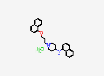 Cl.Cl.c1ccc2c(NC3CCN(CCCOc4cccc5ccccc45)CC3)cccc2c1